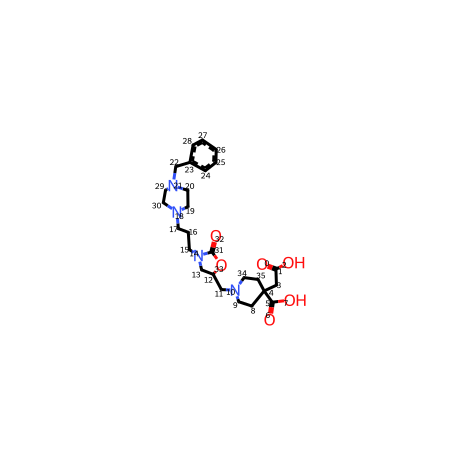 O=C(O)CC1(C(=O)O)CCN(CC2CN(CCCN3CCN(Cc4ccccc4)CC3)C(=O)O2)CC1